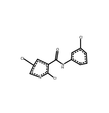 O=C(Nc1cccc(Cl)c1)c1cc(Cl)cnc1Cl